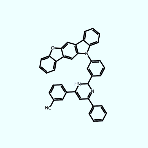 N#Cc1cccc(C2=CC(c3ccccc3)=NC(c3cccc(-n4c5ccccc5c5cc6oc7ccccc7c6cc54)c3)N2)c1